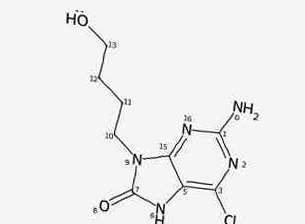 Nc1nc(Cl)c2[nH]c(=O)n(CCCCO)c2n1